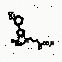 O=C(O)NCCC[C@H]1CNC(=O)c2cc(-c3cccc(OC(F)(F)F)c3)cn21